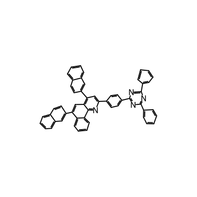 c1ccc(-c2nc(-c3ccccc3)nc(-c3ccc(-c4cc(-c5ccc6ccccc6c5)c5cc(-c6ccc7ccccc7c6)c6ccccc6c5n4)cc3)n2)cc1